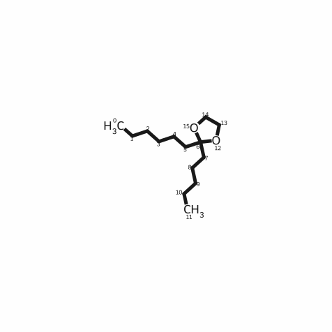 CCCCCCC1(CCCCC)OCCO1